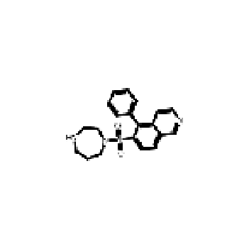 O=S(=O)(c1ccc2cnccc2c1-c1ccccc1)N1CCCNCC1